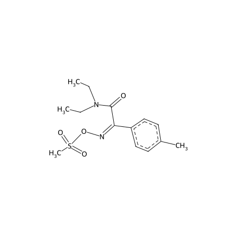 CCN(CC)C(=O)C(=NOS(C)(=O)=O)c1ccc(C)cc1